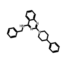 c1ccc(CNc2nc(N3CCC(c4ccccc4)CC3)nc3ccccc23)cc1